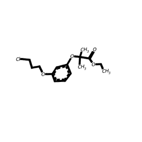 CCOC(=O)C(C)(C)Oc1cccc(OCCCCl)c1